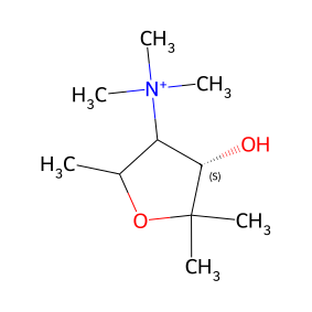 CC1OC(C)(C)[C@@H](O)C1[N+](C)(C)C